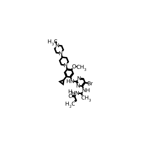 C=CC(=C)NC(C)Nc1nc(Nc2cc(OC)c(N3CCC(N4CCN(C)CC4)CC3)cc2C2CC2)ncc1Br